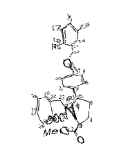 COC(=O)[C@@H]1CC[C@H](c2ccc(OCc3ccccc3F)cc2)[N+]1(Cc1ccccc1)C(=O)[O-]